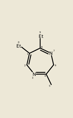 CCC1=CN=C(C)CN=C1CC